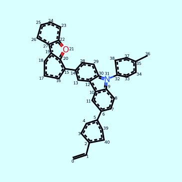 C=Cc1ccc(-c2ccc3c(c2)c2cc(-c4cccc5c4oc4ccccc45)ccc2n3-c2ccc(C)cc2)cc1